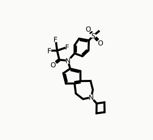 CS(=O)(=O)c1ccc(N(C(=O)C(F)(F)F)c2ccc3c(c2)CCN(C2CCC2)CC3)cc1